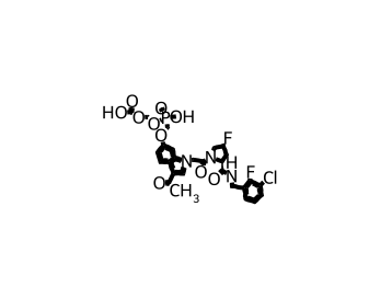 CC(=O)c1cn(CC(=O)N2C[C@H](F)C[C@H]2C(=O)NCc2cccc(Cl)c2F)c2cc(OCP(=O)(O)OCOC(=O)O)ccc12